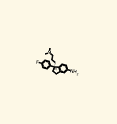 CN(C)CCC[C@@]1(c2ccc(F)cc2)CCc2cc(N)ccc21